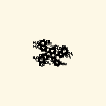 CC(C)(C)c1cc2c3c(c1)N(c1ccc4c(c1)C(C)(C)CCC4(C)C)c1c(oc4ccc(C(C)(C)C)cc14)B3c1cc3c(cc1N2c1ccc2c(c1)C(C)(C)CCC2(C)C)C(C)(C)CCC3(C)C